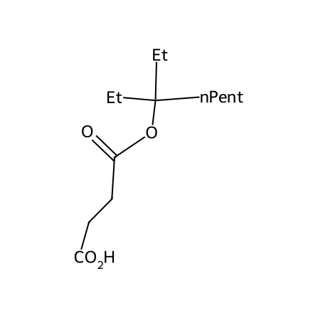 CCCCCC(CC)(CC)OC(=O)CCC(=O)O